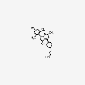 Cc1cc(N2CCC(CCCO)CC2)c2c(C)cn(-c3c(C)cc(Br)cc3C)c2n1